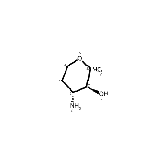 Cl.N[C@@H]1CCOC[C@H]1O